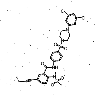 CN(c1ccc(C#CCN)cc1C(=O)Nc1ccc(S(=O)(=O)N2CCN(c3cc(Cl)cc(Cl)c3)CC2)cc1)S(C)(=O)=O